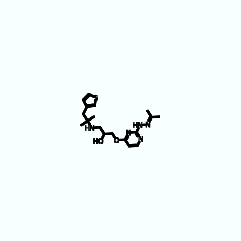 CC(C)=NNc1nccc(OCC(O)CNC(C)(C)Cc2ccsc2)n1